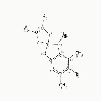 CCOCC1(COCC)Oc2cc(C)c(Br)c(C)c2C1O